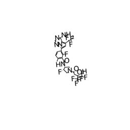 Cc1ccc(-c2cc(C(F)(F)F)c3c(N)ncnn23)c(F)c1C(=O)N[C@@H]1CN(C(=O)CC(O)(C(F)(F)F)C(F)(F)F)C[C@@H]1F